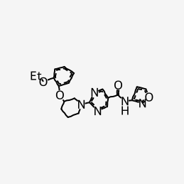 CCOc1ccccc1OC1CCCN(c2ncc(C(=O)Nc3ccon3)cn2)C1